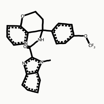 Cn1c(C(=O)NC2(c3ccc(OC(F)(F)F)cc3)CCOc3cccnc32)nc2ccccc21